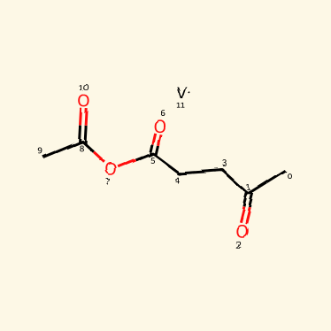 CC(=O)CCC(=O)OC(C)=O.[V]